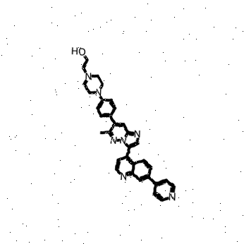 Cc1nn2c(-c3ccnc4cc(-c5ccncc5)ccc34)cnc2cc1-c1ccc(N2CCN(CCO)CC2)cc1